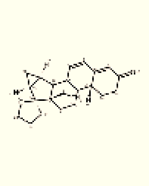 CC[C@]12CCC3C(C=CC4=CC(=O)CC[C@@H]43)C1[C@@H]1C[C@@H]1[C@@]21CCCO1